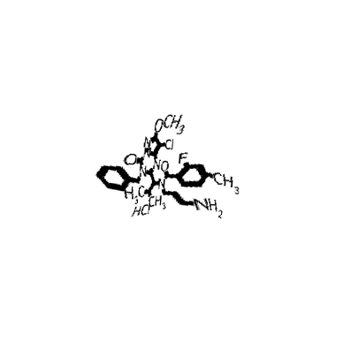 COc1nn2c(=O)n(Cc3ccccc3)c(C(C(C)C)N(CCCN)C(=O)c3ccc(C)cc3F)nc2c1Cl.Cl